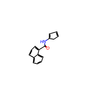 O=C(NC1=CC=CC1)c1cccc2ccccc12